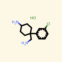 Cl.NCC1(c2cccc(Cl)c2)CCC(N)CC1